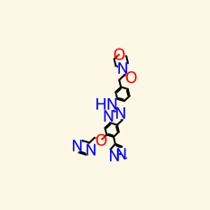 Cn1cc(-c2cc3cnc(Nc4cccc(CC(=O)N5CCOCC5)c4)nc3cc2OCc2cnccn2)cn1